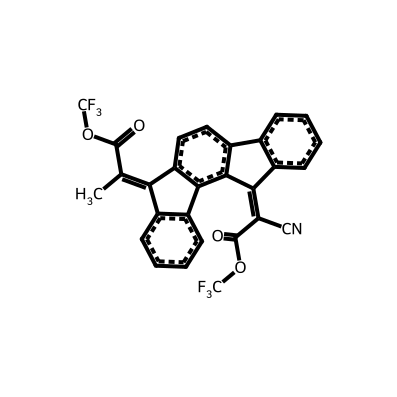 C/C(C(=O)OC(F)(F)F)=C1\c2ccccc2-c2c1ccc1c2/C(=C(/C#N)C(=O)OC(F)(F)F)c2ccccc2-1